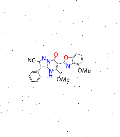 COCc1[nH]c2c(-c3ccccc3)c(C#N)nn2c(=O)c1-c1nc2c(OC)cccc2o1